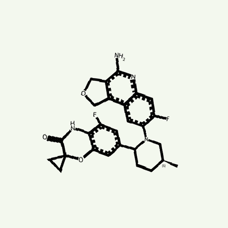 C[C@H]1CCC(c2cc(F)c3c(c2)OC2(CC2)C(=O)N3)N(c2cc3c4c(c(N)nc3cc2F)COC4)C1